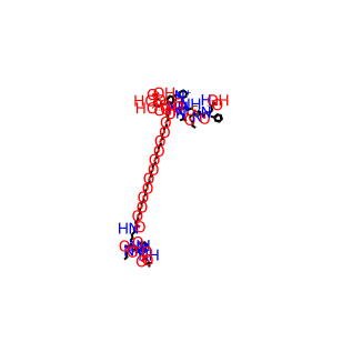 CCCNC(=O)[C@H](CCCCNC(=O)CCOCCOCCOCCOCCOCCOCCOCCOCCOCCOCCOCCOC(=O)Nc1cc(C[N+]2(C)CCCC[C@@H]2C(=O)N[C@H](C(=O)N(C)[C@H](C[C@@H](OCCC)c2nc(C(=O)N[C@@H](Cc3ccccc3)C[C@H](C)C(=O)O)cs2)C(C)C)[C@@H](C)CC)ccc1O[C@@H]1O[C@H](C(=O)O)[C@@H](O)[C@H](O)[C@H]1O)NC(=O)[C@H](CNC(=O)OC(C)(C)C)N1C(=O)C=CC1=O